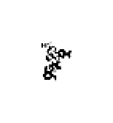 CCc1cccc(CC)c1-c1nc(C)c(COc2cc(C(C)C)ccc2C)c(N2CCN(CC(=O)NC)CC2)n1